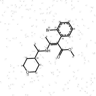 COC(=O)C(=C(C)NC(C)C1CCOCC1)c1ccccc1Br